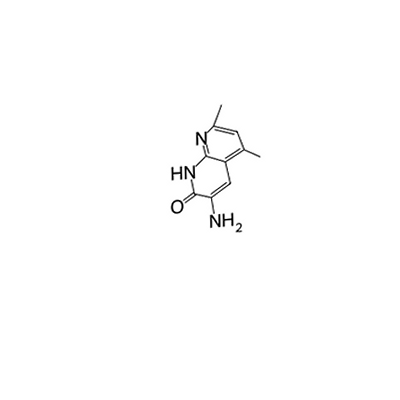 Cc1cc(C)c2cc(N)c(=O)[nH]c2n1